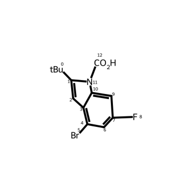 CC(C)(C)c1cc2c(Br)cc(F)cc2n1C(=O)O